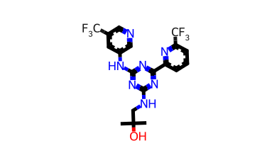 CC(C)(O)CNc1nc(Nc2cncc(C(F)(F)F)c2)nc(-c2cccc(C(F)(F)F)n2)n1